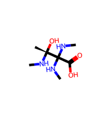 CNC(NC)(C(=O)O)[C@@](C)(O)NC